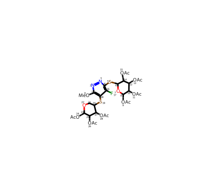 COc1nnc(SC2OC(OC(C)=O)C(OC(C)=O)C(OC(C)=O)C2OC(C)=O)c(F)c1SC1COC(OC(C)=O)C(OC(C)=O)C1OC(C)=O